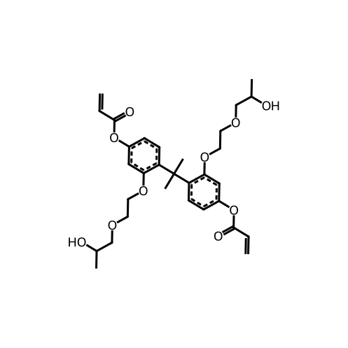 C=CC(=O)Oc1ccc(C(C)(C)c2ccc(OC(=O)C=C)cc2OCCOCC(C)O)c(OCCOCC(C)O)c1